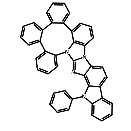 c1ccc(-n2c3ccccc3c3ccc4c(nc5n4c4cccc6c7ccccc7c7ccccc7c7ccccc7n5c64)c32)cc1